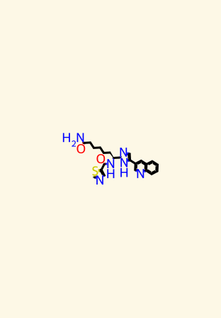 NC(=O)CCCCC[C@H](NC(=O)c1cncs1)c1ncc(-c2cnc3ccccc3c2)[nH]1